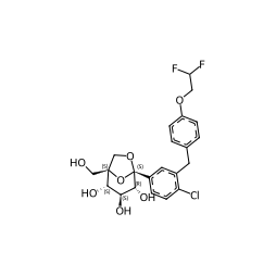 OC[C@@]12CO[C@@](c3ccc(Cl)c(Cc4ccc(OCC(F)F)cc4)c3)(O1)[C@H](O)[C@@H](O)[C@@H]2O